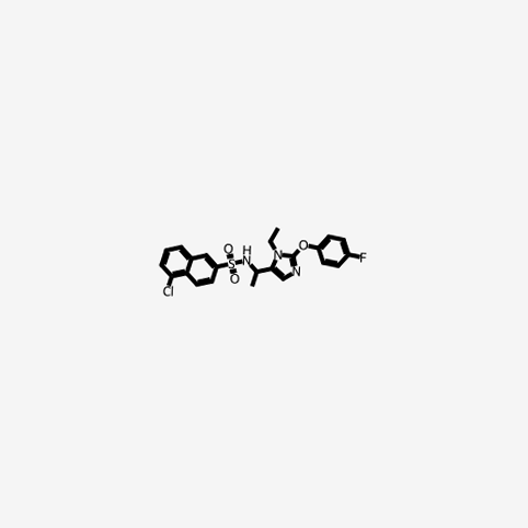 CCn1c(C(C)NS(=O)(=O)c2ccc3c(Cl)cccc3c2)cnc1Oc1ccc(F)cc1